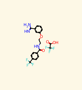 N=C(N)c1cccc(OCCNC(=O)c2ccc(C(F)(F)F)cc2)c1.O=C(O)C(F)(F)F